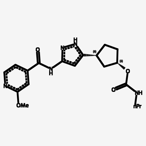 CCCNC(=O)O[C@H]1CC[C@@H](c2cc(NC(=O)c3ccnc(OC)c3)n[nH]2)C1